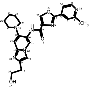 Cc1cc(-c2nc(C(=O)Nc3cn4cc(CCO)nc4cc3N3CCCCC3)co2)ccn1